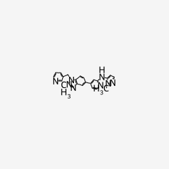 Cc1ncccc1Cn1nnc2cc(-c3ccnc(Nc4ccnn4C)c3)ccc21